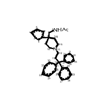 CC(=O)NCC1(c2ccccc2)CCN(CCC(c2ccccc2)(c2ccccc2)c2ccccc2)CC1